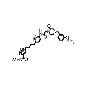 CNC(=O)c1cn(CCCCc2ccc(NC(=O)CN3CCN(Cc4cccc(OC(F)(F)F)c4)CC3=O)nn2)nn1